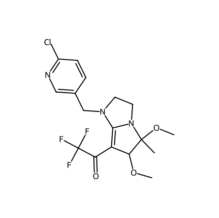 COC1C(C(=O)C(F)(F)F)=C2N(Cc3ccc(Cl)nc3)CCN2C1(C)OC